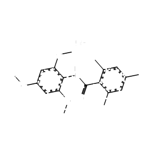 COc1cc(OC)c(PC(=O)c2c(C)cc(C)cc2C)c(OC)c1.[LiH]